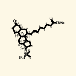 COC(=O)CCCCC=CCC1CC2CC(=O)CC[C@]2(C)[C@@H]2CC[C@]3(C)C(O[Si](C)(C)C(C)(C)C)CC[C@H]3[C@H]12